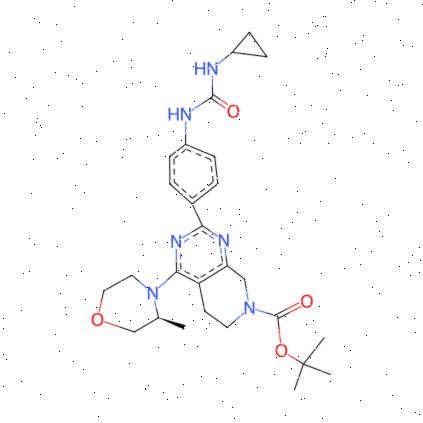 C[C@H]1COCCN1c1nc(-c2ccc(NC(=O)NC3CC3)cc2)nc2c1CCN(C(=O)OC(C)(C)C)C2